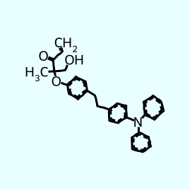 C=CC(=O)C(C)(CO)Oc1ccc(CCc2ccc(N(c3ccccc3)c3ccccc3)cc2)cc1